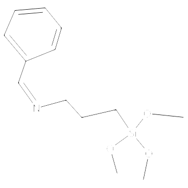 CO[Si](CCC/N=C\c1ccccc1)(OC)OC